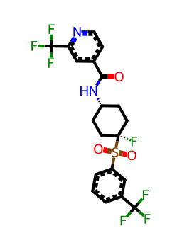 O=C(N[C@H]1CC[C@](F)(S(=O)(=O)c2cccc(C(F)(F)F)c2)CC1)c1ccnc(C(F)(F)F)c1